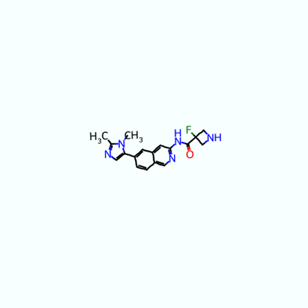 Cc1ncc(-c2ccc3cnc(NC(=O)C4(F)CNC4)cc3c2)n1C